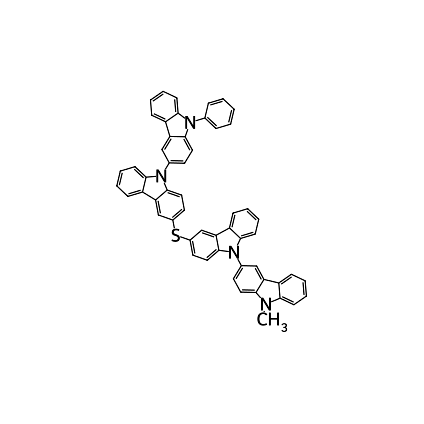 Cn1c2ccccc2c2cc(-n3c4ccccc4c4cc(Sc5ccc6c(c5)c5ccccc5n6-c5ccc6c(c5)c5ccccc5n6-c5ccccc5)ccc43)ccc21